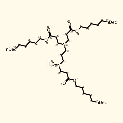 CCCCCCCCCCCCCCCOC(=O)CCN(C)CCCN(CCC(=O)OCCCCCCCCCCCCCCC)CCC(=O)OCCCCCCCCCCCCCCC